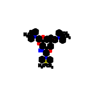 CC(C)[S+]1c2ccccc2N(c2cc3c4c(c2)Oc2ccccc2B4c2cc4c(cc2N3)Oc2cc(N3c5ccccc5[Si](C)(C)c5ccccc53)cc3c2B4c2cc4c(cc2O3)Oc2cc(N3c5ccccc5[Si](C)(C)c5ccccc53)cc3c2B4c2ccccc2O3)c2ccccc21